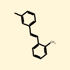 Cc1ccccc1C=Cc1cccc(I)c1